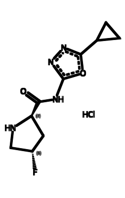 Cl.O=C(Nc1nnc(C2CC2)o1)[C@H]1C[C@H](F)CN1